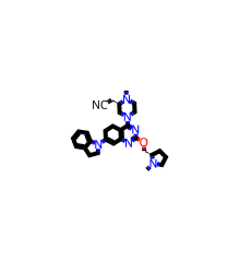 CN1CCC[C@H]1COc1nc2c(c(N3CCN(C)[C@@H](CC#N)C3)n1)CCC(N1CCc3ccccc31)=C2